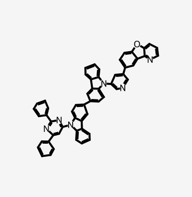 c1ccc(-c2cc(-n3c4ccccc4c4cc(-c5ccc6c(c5)c5ccccc5n6-c5cncc(-c6ccc7oc8cccnc8c7c6)c5)ccc43)nc(-c3ccccc3)n2)cc1